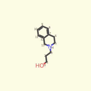 OCCCN1CCc2ccccc2C1